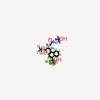 CC(C)(O)CNC(=O)c1nc(C(=O)OC(C)(C)C)c(-c2ccc(C(O)(C(F)(F)F)C(F)(F)F)c3ccccc23)s1